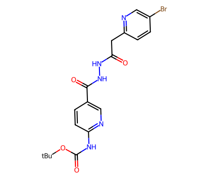 CC(C)(C)OC(=O)Nc1ccc(C(=O)NNC(=O)Cc2ccc(Br)cn2)cn1